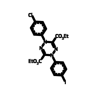 CCOC(=O)C1=NN(c2ccc(I)cc2)C(C(=O)OCC)=NN1c1ccc(Cl)cc1